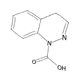 O=C(O)N1N=CCc2ccccc21